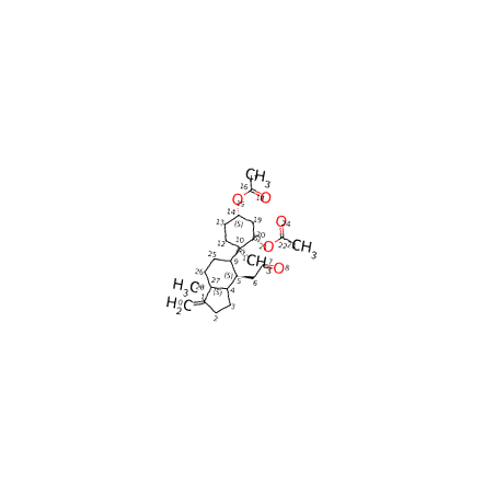 C=C1CCC2[C@H](CC=O)C([C@@]3(C)CC[C@H](OC(C)=O)C[C@@H]3OC(C)=O)CC[C@]12C